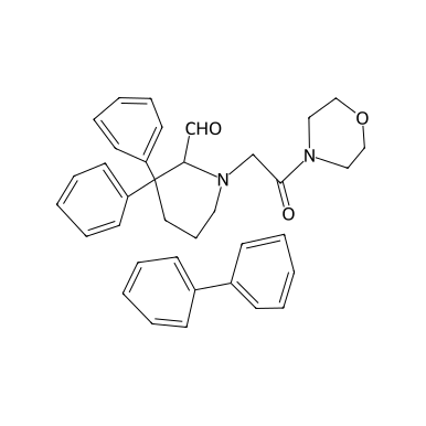 O=CC1N(CC(=O)N2CCOCC2)CCCC1(c1ccccc1)c1ccccc1.c1ccc(-c2ccccc2)cc1